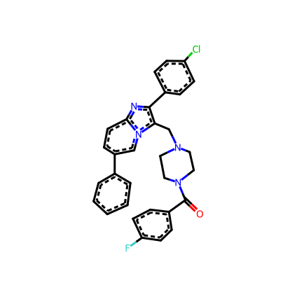 O=C(c1ccc(F)cc1)N1CCN(Cc2c(-c3ccc(Cl)cc3)nc3ccc(-c4ccccc4)cn23)CC1